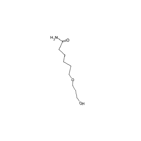 NC(=O)CCCCCOCCCO